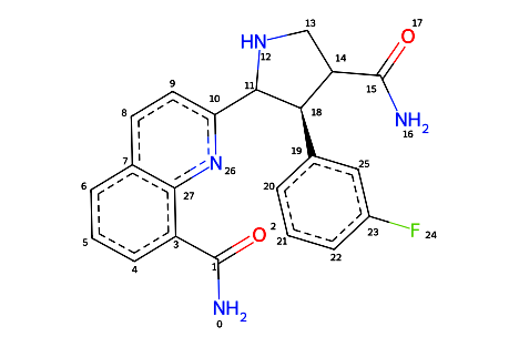 NC(=O)c1cccc2ccc(C3NCC(C(N)=O)[C@H]3c3cccc(F)c3)nc12